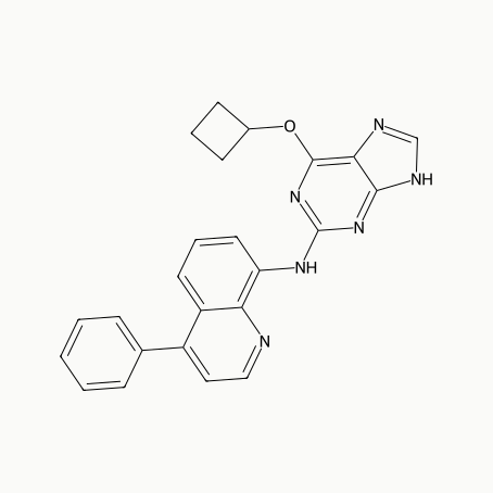 c1ccc(-c2ccnc3c(Nc4nc(OC5CCC5)c5nc[nH]c5n4)cccc23)cc1